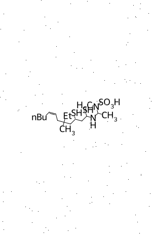 CCCC/C=C\CC(C)(CC)CC(S)CC(S)NC(C)N(C)S(=O)(=O)O